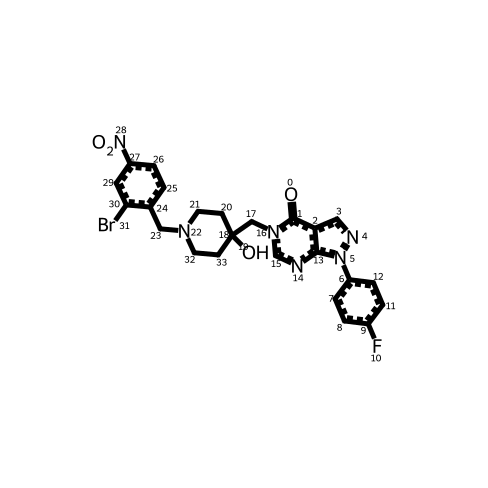 O=c1c2cnn(-c3ccc(F)cc3)c2ncn1CC1(O)CCN(Cc2ccc([N+](=O)[O-])cc2Br)CC1